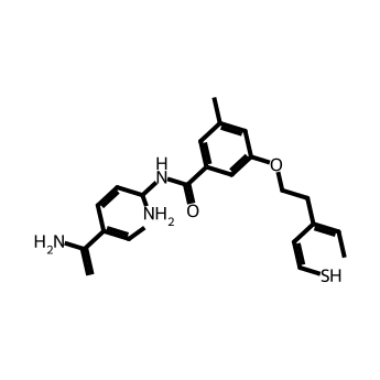 C=C(N)C(/C=C\C(N)NC(=O)c1cc(C)cc(OCCC(/C=C\S)=C/C)c1)=C/C